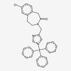 O=C1Cc2ccc(Cl)cc2CCN1Cc1cn(C(c2ccccc2)(c2ccccc2)c2ccccc2)cn1